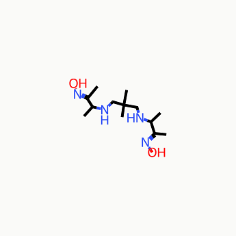 C/C(=N\O)C(C)NCC(C)(C)CNC(C)/C(C)=N/O